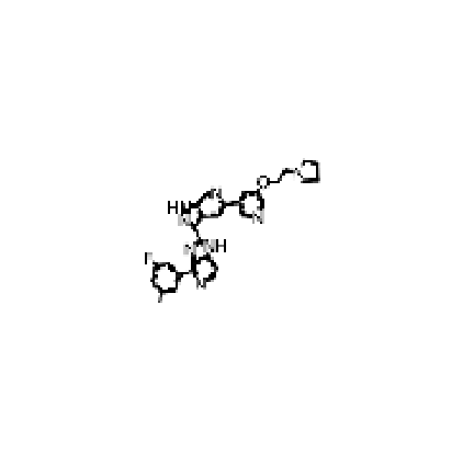 Cc1cc(F)cc(-c2nccc3[nH]c(-c4n[nH]c5cnc(-c6cncc(OCCN7CCCC7)c6)cc45)nc23)c1